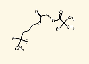 CCC(C)(C)C(=O)OCC(=O)OCCCC(C)(F)F